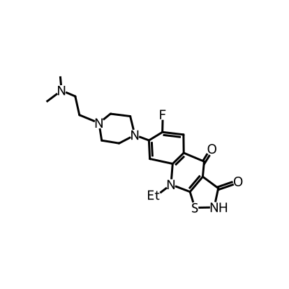 CCn1c2cc(N3CCN(CCN(C)C)CC3)c(F)cc2c(=O)c2c(=O)[nH]sc21